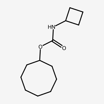 O=C(NC1CCC1)OC1CCCCCCC1